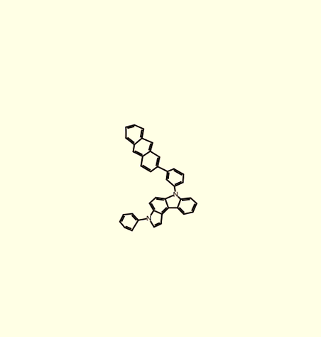 c1ccc(-n2ccc3c4c5ccccc5n(-c5cccc(-c6ccc7cc8ccccc8cc7c6)c5)c4ccc32)cc1